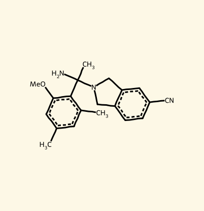 COc1cc(C)cc(C)c1C(C)(N)N1Cc2ccc(C#N)cc2C1